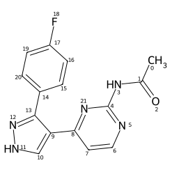 CC(=O)Nc1nccc(-c2c[nH]nc2-c2ccc(F)cc2)n1